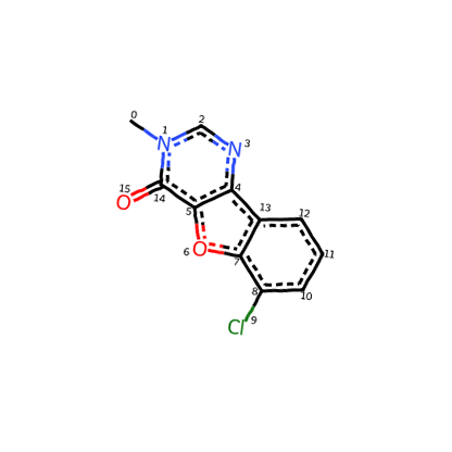 Cn1cnc2c(oc3c(Cl)cccc32)c1=O